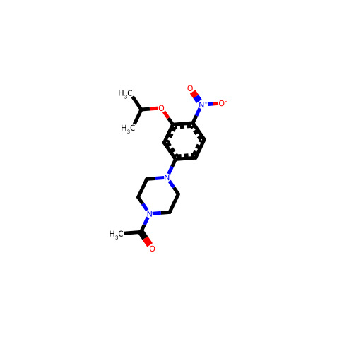 CC(=O)N1CCN(c2ccc([N+](=O)[O-])c(OC(C)C)c2)CC1